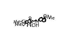 COc1cc2c(cc1OC)CC(=O)N(CCCNC1CCc3c(cccc3OC)C1)CC2.Cl